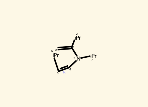 C=C(C(C)C)N(/C=C\C(C)C)C(C)C